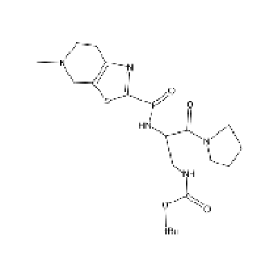 CN1CCc2nc(C(=O)NC(CNC(=O)OC(C)(C)C)C(=O)N3CCCC3)sc2C1